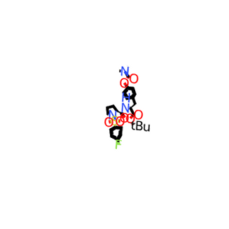 CN(C)C(=O)Oc1ccc(C[C@H](NC(=O)[C@@H]2CCCN2S(=O)(=O)c2ccc(F)cc2)C(=O)OC(C)(C)C)cc1